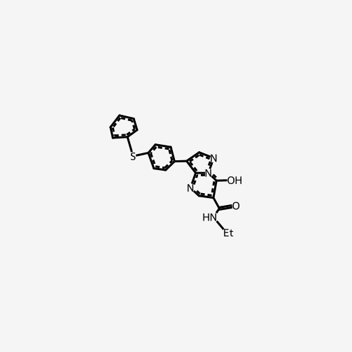 CCNC(=O)c1cnc2c(-c3ccc(Sc4ccccc4)cc3)cnn2c1O